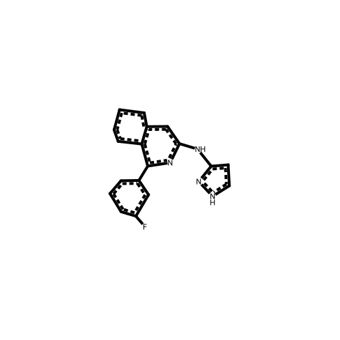 Fc1cccc(-c2nc(Nc3cc[nH]n3)cc3ccccc23)c1